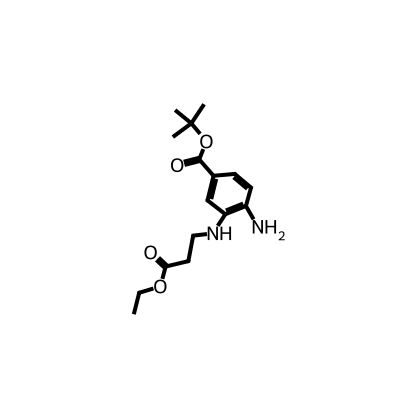 CCOC(=O)CCNc1cc(C(=O)OC(C)(C)C)ccc1N